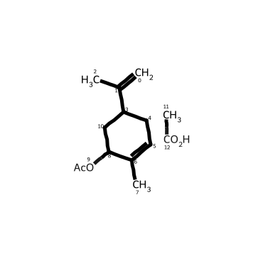 C=C(C)C1CC=C(C)C(OC(C)=O)C1.CC(=O)O